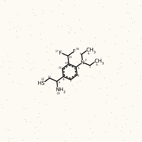 CCN(CC)c1ccc(C(N)CS)cc1C(F)F